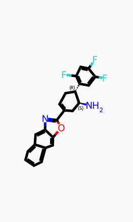 N[C@H]1CC(c2nc3cc4ccccc4cc3o2)=CC[C@@H]1c1cc(F)c(F)cc1F